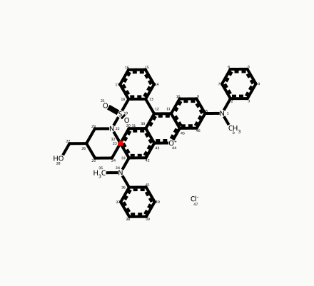 CN(c1ccccc1)c1ccc2c(-c3ccccc3S(=O)(=O)N3CCCC(CO)C3)c3ccc(N(C)c4ccccc4)cc3[o+]c2c1.[Cl-]